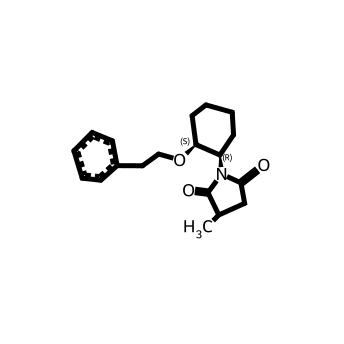 CC1CC(=O)N([C@@H]2CCCC[C@@H]2OCCc2ccccc2)C1=O